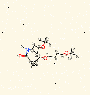 CN(C(=O)C12CC(C1)C2COCCCCOC(C)(C)C)C1CC(OC(C)(C)C)C1